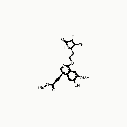 CC[C@@H]1[C@H](F)C(=O)N[C@@H]1CCOc1ncc(C#CC(=O)OC(C)(C)C)c2cc(C#N)c(OC)cc12